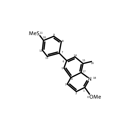 COc1ccc2cc(-c3ccc(SC)cc3)cc(C)c2n1